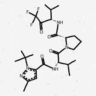 Cc1cc(C(=O)N[C@H](C(=O)N2CCC[C@H]2C(=O)N[C@H](C(=O)C(F)(F)F)C(C)C)C(C)C)n(C(C)(C)C)n1